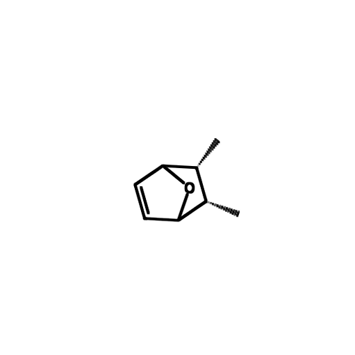 C[C@@H]1C2C=CC(O2)[C@@H]1C